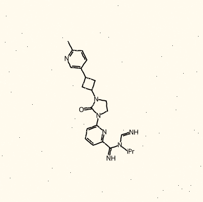 Cc1ccc(C2CC(N3CCN(c4cccc(C(=N)N(C=N)C(C)C)n4)C3=O)C2)cn1